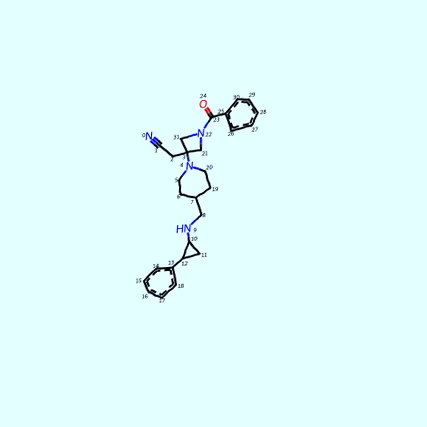 N#CCC1(N2CCC(CNC3CC3c3ccccc3)CC2)CN(C(=O)c2ccccc2)C1